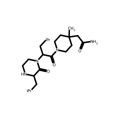 CC(C)CC1NCCN(C(CC(C)C)C(=O)N2CCC(C)(CC(N)=O)CC2)C1=O